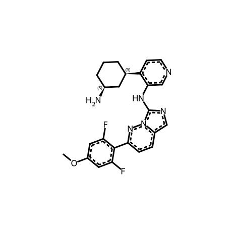 COc1cc(F)c(-c2ccc3cnc(Nc4cnccc4[C@@H]4CCC[C@H](N)C4)n3n2)c(F)c1